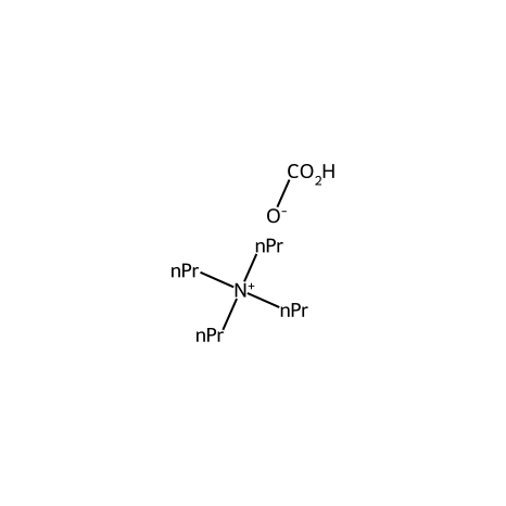 CCC[N+](CCC)(CCC)CCC.O=C([O-])O